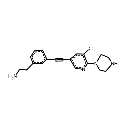 NCCc1cccc(C#Cc2cnc(N3CCNCC3)c(Cl)c2)c1